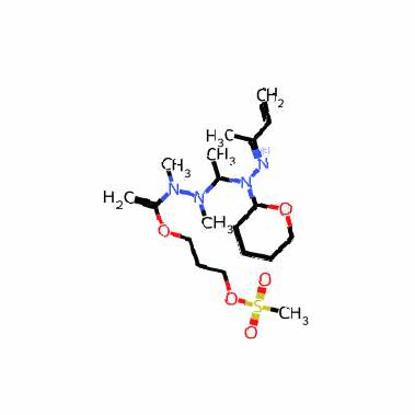 C=C/C(C)=N/N(C1CCCCO1)C(C)N(C)N(C)C(=C)OCCCOS(C)(=O)=O